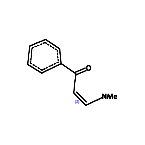 CN/C=C\C(=O)c1ccccc1